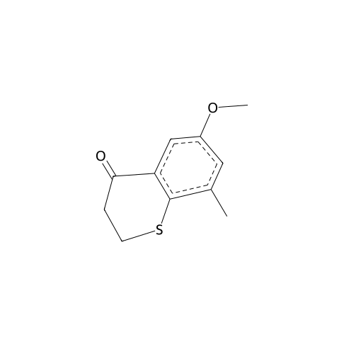 COc1cc(C)c2c(c1)C(=O)CCS2